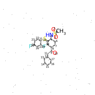 CS(=O)(=O)Nc1ccc(C(=O)Cc2ccccc2)cc1Sc1ccc(F)cc1F